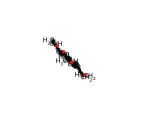 C=CC(=C)NCCCCOc1ccc(C(=O)Nc2ccc(NC(=O)c3ccc(OCCCCNC(=O)C=C)cc3)c(C)c2)cc1